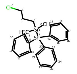 C[Si](C)(CCCCl)[Sn]([c]1ccccc1)([c]1ccccc1)[c]1ccccc1